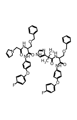 CC(C)(C(=O)NC(COCc1ccccc1)C(=O)Nc1ccc(Oc2ccc(F)cc2)cc1)c1c[nH]cn1.O=C(CN1CC=CC1)NC(COCc1ccccc1)C(=O)Nc1ccc(Oc2ccc(F)cc2)cc1